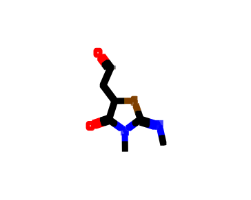 CN=C1SC(C[C]=O)C(=O)N1C